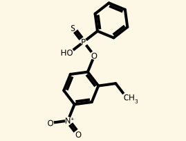 CCc1cc([N+](=O)[O-])ccc1OP(O)(=S)c1ccccc1